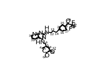 COc1ccc(CNc2nc(NCCCc3ccc(C(=O)C(F)(F)F)cc3)nc3ncccc23)cc1OC